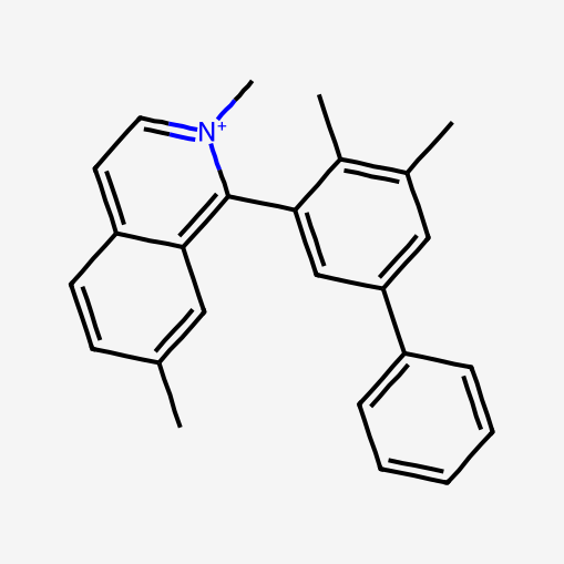 Cc1ccc2cc[n+](C)c(-c3cc(-c4ccccc4)cc(C)c3C)c2c1